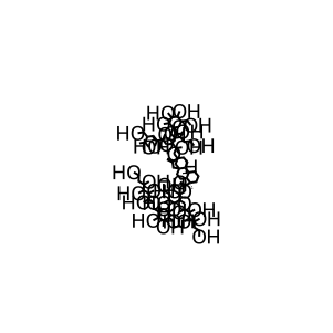 C=C1CC23CCC4[C@](C)(C(=O)OC(O)C(OC(O)C(O)C(O)C(O)CCO)C(OC5OC(COC(O)C(O)C(O)C(O)CCO)C(O)C(O)C5O)C(O)CCO)CCC[C@@]4(C)[C@@H]2CCC1(OC(O)C(OC(O)/C(O)=C/C(CO)C(C)O)C(OC1OC(CO)C(O)C(O)C1O)C(O)CCO)C3